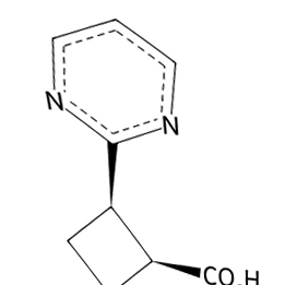 O=C(O)[C@H]1CC[C@H]1c1ncccn1